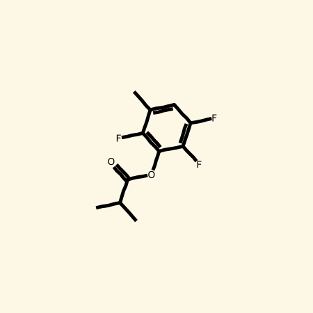 Cc1cc(F)c(F)c(OC(=O)C(C)C)c1F